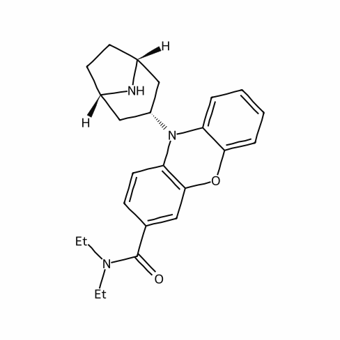 CCN(CC)C(=O)c1ccc2c(c1)Oc1ccccc1N2[C@H]1C[C@H]2CC[C@@H](C1)N2